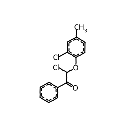 Cc1ccc(OC(Cl)C(=O)c2ccccc2)c(Cl)c1